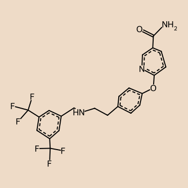 NC(=O)c1ccc(Oc2ccc(CCNCc3cc(C(F)(F)F)cc(C(F)(F)F)c3)cc2)nc1